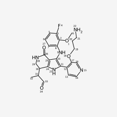 COc1c(F)cccc1Nc1c(-c2ccncc2OCCCN)[nH]c2c1C(=O)NCC2C(C)C=O